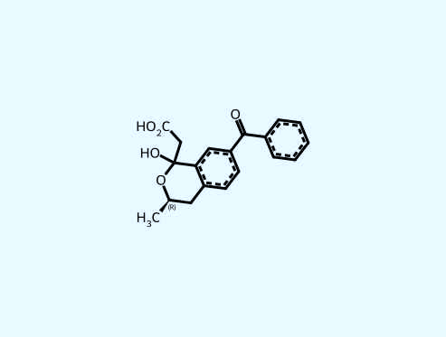 C[C@@H]1Cc2ccc(C(=O)c3ccccc3)cc2C(O)(CC(=O)O)O1